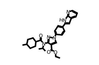 CCOC(=O)c1cn(-c2ccc(-c3cc4cccnc4[nH]3)cc2)nc1N(C(=O)C1CCC(C)CC1)C(C)C